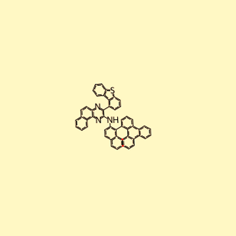 c1ccc2c(-c3cccc4c5ccccc5c5ccccc5c34)c(Nc3nc4c(ccc5ccccc54)nc3-c3cccc4sc5ccccc5c34)ccc2c1